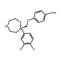 COc1ccc(OC[C@@]2(c3ccc(Cl)c(Cl)c3)CCNCCO2)cc1